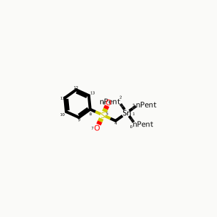 CCCC[CH2][Sn]([CH2]CCCC)([CH2]CCCC)[CH2]S(=O)(=O)c1ccccc1